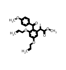 C=CCOc1cc(OCC=C)c(C(=O)c2ccc(OC)cc2)c(C(I)C(=O)OC)c1